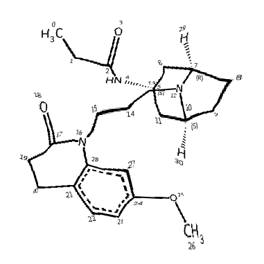 CCC(=O)N[C@@H]1C[C@H]2CC[C@@H](C1)N2CCCN1C(=O)CCc2ccc(OC)cc21